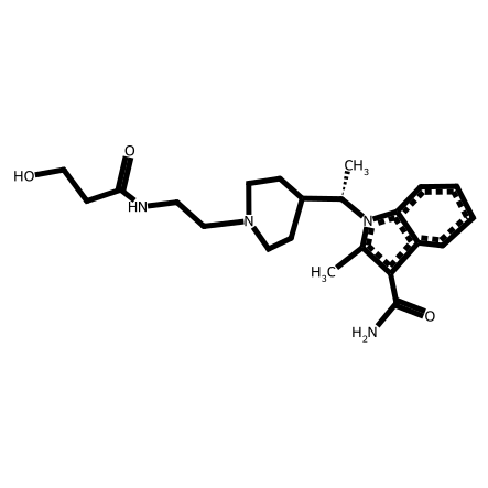 Cc1c(C(N)=O)c2ccccc2n1[C@@H](C)C1CCN(CCNC(=O)CCO)CC1